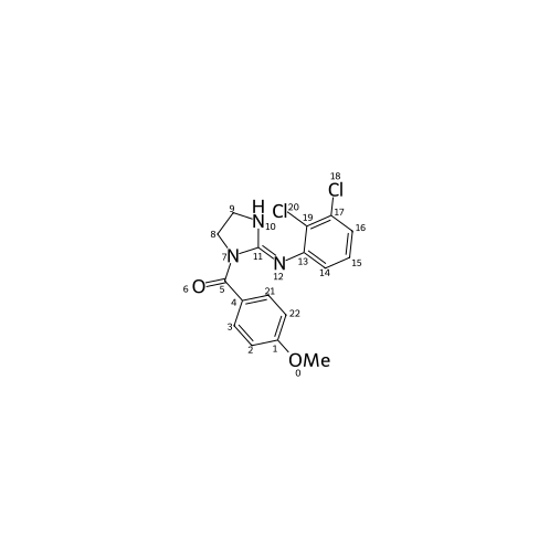 COc1ccc(C(=O)N2CCNC2=Nc2cccc(Cl)c2Cl)cc1